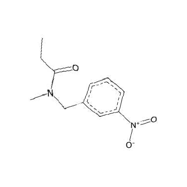 CCC(=O)N(C)Cc1cccc([N+](=O)[O-])c1